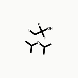 CC(C)OC(C)C.OC(F)(F)CF